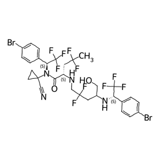 CC(F)(F)C[C@H](NCC(F)(F)CC(CO)N[C@@H](c1ccc(Br)cc1)C(F)(F)F)C(=O)N([C@@H](c1ccc(Br)cc1)C(F)(F)F)C1(C#N)CC1